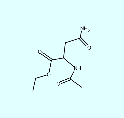 CCOC(=O)C(CC(N)=O)NC(C)=O